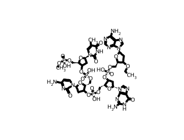 CCOC1C[C@H](n2cnc3c(N)ncnc32)O[C@@H]1COP(=O)(O)OC1C[C@H](n2cnc3c(=O)[nH]c(N)nc32)O[C@@H]1COP(=O)(O)OC1C[C@H](n2ccc(N)nc2=O)O[C@@H]1COP(=O)(O)OC1C[C@H](n2cc(C)c(=O)[nH]c2=O)O[C@@H]1COP(=O)(O)OC